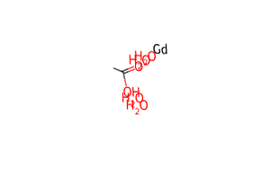 CC(=O)O.O.O.O.O.[Gd]